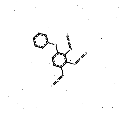 O=C=Nc1ccc(Oc2ccccc2)c(N=C=O)c1N=C=O